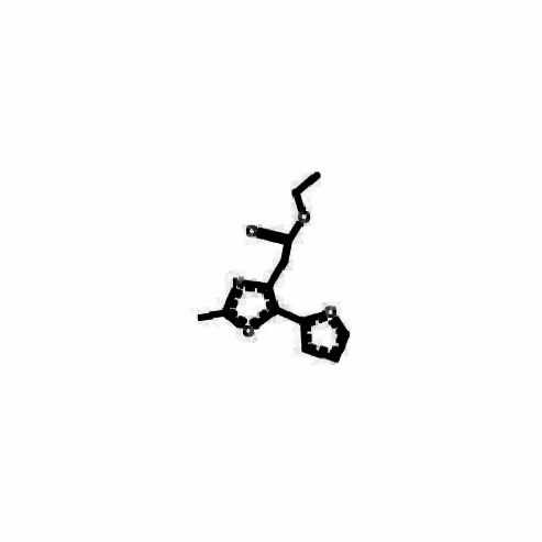 CCOC(=O)Cc1nc(C)oc1-c1ccco1